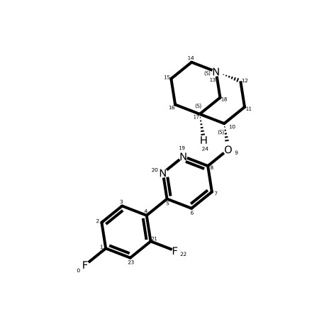 Fc1ccc(-c2ccc(O[C@H]3CC[N@@]4CCC[C@H]3C4)nn2)c(F)c1